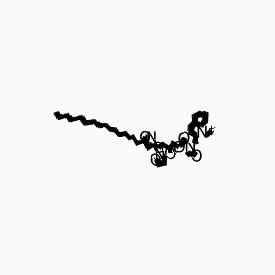 CCCCCCCCCCCCCCCCc1cc(OCC(COC(=O)N(Cc2ccc3ccccc3[n+]2CC)C(C)=O)Oc2ccon2)no1